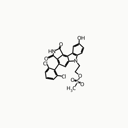 CS(=O)(=O)OCCn1c2ccc(O)cc2c2c3c(c(-c4c(Cl)cccc4Cl)cc21)C(=O)NC3=O